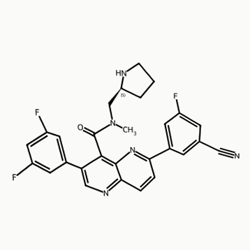 CN(C[C@@H]1CCCN1)C(=O)c1c(-c2cc(F)cc(F)c2)cnc2ccc(-c3cc(F)cc(C#N)c3)nc12